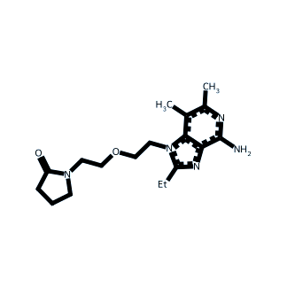 CCc1nc2c(N)nc(C)c(C)c2n1CCOCCN1CCCC1=O